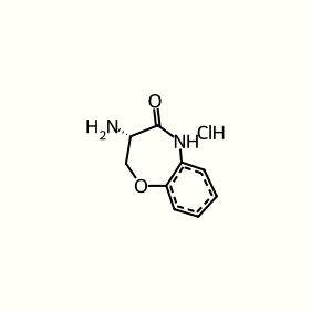 Cl.N[C@H]1COc2ccccc2NC1=O